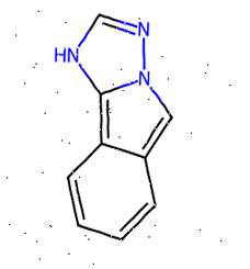 c1ccc2c(c1)cn1nc[nH]c21